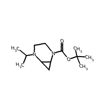 CC(C)N1CCN(C(=O)OC(C)(C)C)C2CC21